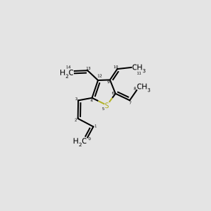 C=C/C=C\c1sc(=C/C)/c(=C\C)c1C=C